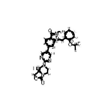 Cn1c(=O)c2ccc(-c3cnc(N4CCN5C(=O)OC[C@@H]5C4)nc3)cc2n1Cc1ccccc1OC(F)F